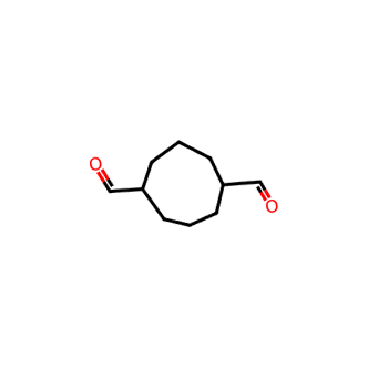 O=CC1CCCC(C=O)CCC1